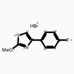 Br.COc1nc(-c2ccc(F)cc2)cs1